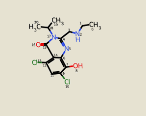 CCNCc1nc2c(O)c(Cl)cc(Cl)c2c(=O)n1C(C)C